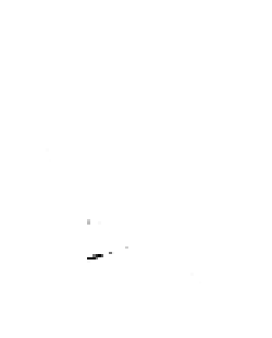 CC1CCC2CC(OC(C)[C@@H]2C)O[C@]2(C)CCC1COO2